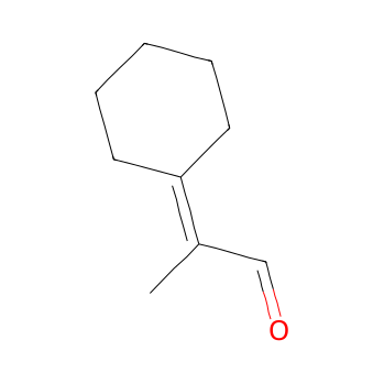 CC(C=O)=C1CCCCC1